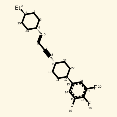 CC[C@H]1CC[C@H](C=CC#C[C@H]2CC[C@H](c3cc(F)c(F)c(F)c3)CC2)CC1